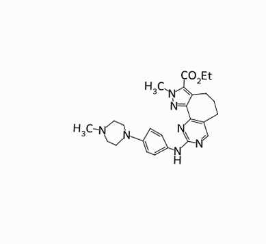 CCOC(=O)c1c2c(nn1C)-c1nc(Nc3ccc(N4CCN(C)CC4)cc3)ncc1CCC2